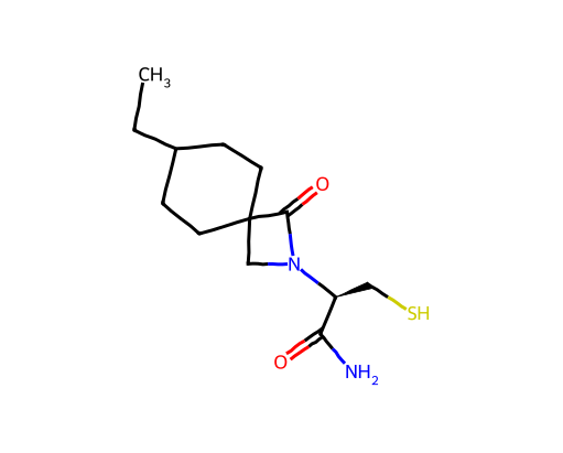 CCC1CCC2(CC1)CN([C@@H](CS)C(N)=O)C2=O